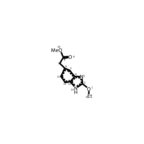 CCOc1nc2cc(CC(=O)OC)ccc2[nH]1